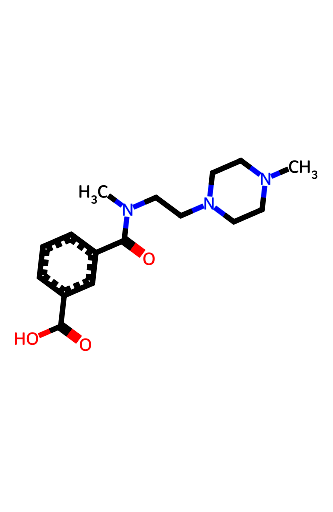 CN1CCN(CCN(C)C(=O)c2cccc(C(=O)O)c2)CC1